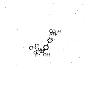 O=C(O)NCc1cc(-c2ccc([C@@H](O)[C@@H](CF)NC(=O)C(Cl)Cl)cc2)cs1